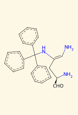 N/C=C(/C[C@@H](N)C=O)NC(c1ccccc1)(c1ccccc1)c1ccccc1